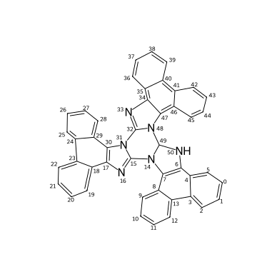 c1ccc2c(c1)c1c(c3ccccc32)N2c3nc4c5ccccc5c5ccccc5c4n3-c3nc4c5ccccc5c5ccccc5c4n3C2N1